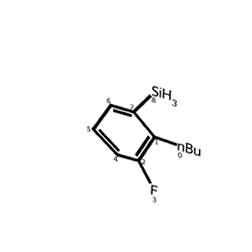 CCCCc1c(F)cccc1[SiH3]